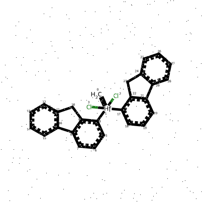 [CH2]=[Hf]([Cl])([Cl])([c]1cccc2c1Cc1ccccc1-2)[c]1cccc2c1Cc1ccccc1-2